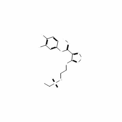 CCS(=O)(=O)NCCSc1nonc1/C(=N/O)Nc1ccc(F)c(Br)c1